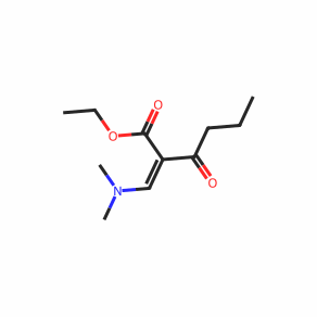 CCCC(=O)C(=CN(C)C)C(=O)OCC